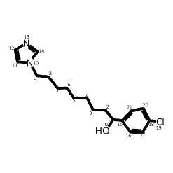 OC(CCCCCCCCn1ccnc1)c1ccc(Cl)cc1